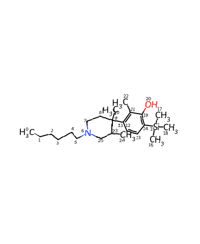 CCCCCCN1CCC(C)(c2ccc([Si](C)(C)C)c(O)c2C)C(C)C1